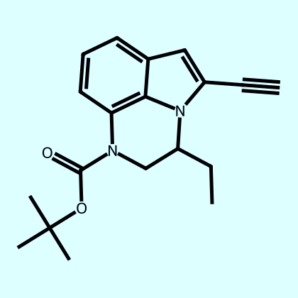 C#Cc1cc2cccc3c2n1C(CC)CN3C(=O)OC(C)(C)C